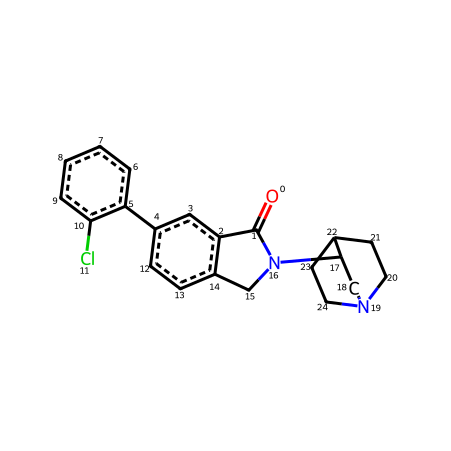 O=C1c2cc(-c3ccccc3Cl)ccc2CN1C1CN2CCC1CC2